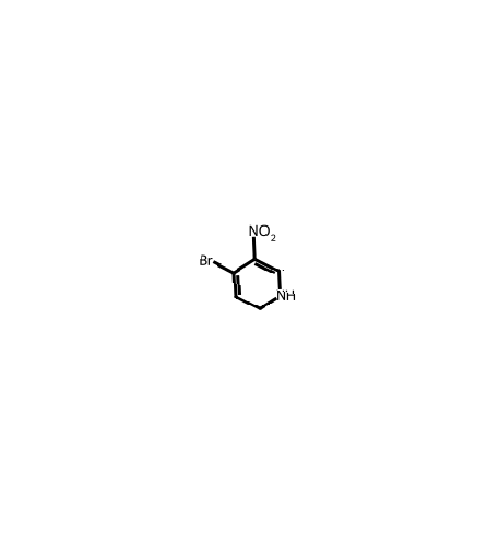 O=[N+]([O-])C1=[C]NCC=C1Br